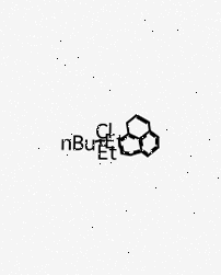 C1=Cc2cccc3cccc(c23)C1.CCCCC(Cl)(CC)CC